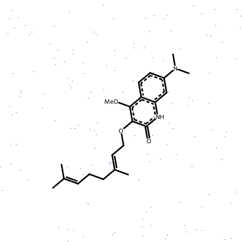 COc1c(OC/C=C(\C)CCC=C(C)C)c(=O)[nH]c2cc(N(C)C)ccc12